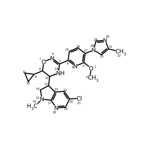 COc1nc(C2=NOC(C3CC3)C(C3CN(C)c4ncc(Cl)cc43)N2)ccc1-n1cnc(C)c1